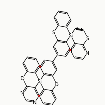 c1ccc2c(c1)Oc1cc(-c3ccc4c(c3)Sc3ccccc3[Si]43c4ccccc4Sc4nccnc43)ccc1[Si]21c2ccccc2Oc2ncncc21